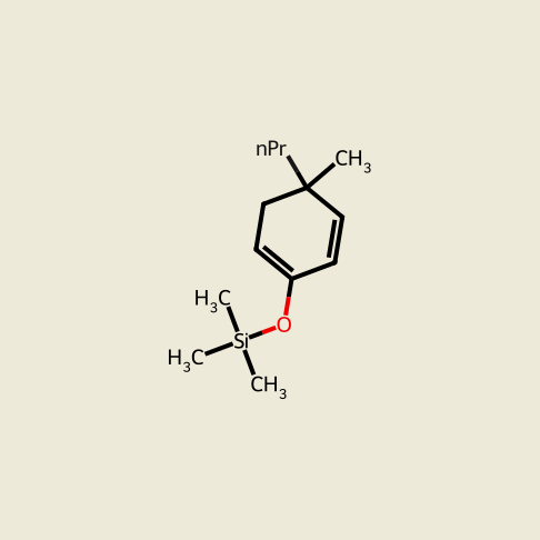 CCCC1(C)C=CC(O[Si](C)(C)C)=CC1